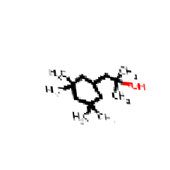 CC(C)(O)CC1CC(C)(C)CC(C)(C)C1